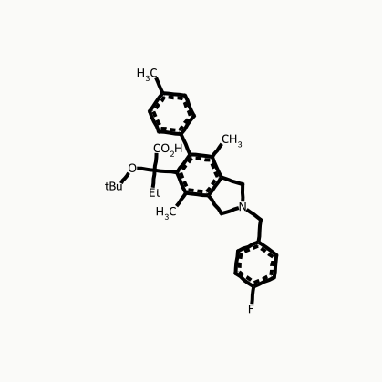 CCC(OC(C)(C)C)(C(=O)O)c1c(C)c2c(c(C)c1-c1ccc(C)cc1)CN(Cc1ccc(F)cc1)C2